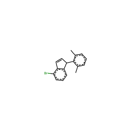 Cc1cccc(C)c1C1C=Cc2c(Br)cccc21